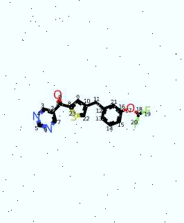 O=C(c1cncnc1)c1cc(Cc2cccc(OC(F)F)c2)cs1